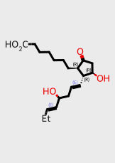 CC/C=C/C(O)C/C=C/[C@H]1[C@H](O)CC(=O)[C@@H]1CCCCCCC(=O)O